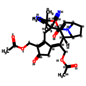 CC(=O)OCC1=C2CC(C#N)(C#N)C3=CC4CCC([C@@H]3C(COC(C)=O)=C2CC1=O)N4C(=O)OC(C)(C)C